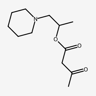 CC(=O)CC(=O)OC(C)CN1CCCCC1